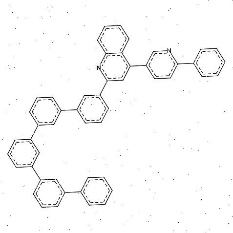 c1ccc(-c2cccc(-c3cccc(-c4cccc(-c5cccc(-c6cc(-c7ccc(-c8ccccc8)nc7)c7ccccc7n6)c5)c4)c3)c2)cc1